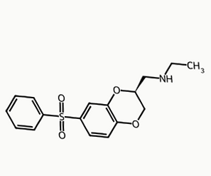 CCNC[C@H]1COc2ccc(S(=O)(=O)c3ccccc3)cc2O1